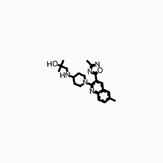 Cc1ccc2nc(N3CCC(NCC(C)(C)O)CC3)c(-c3nc(C)no3)cc2c1